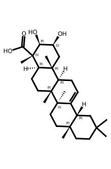 CC1(C)CC[C@]2(C)CC[C@]3(C)C(=CC[C@@H]4[C@@]5(C)C[C@H](O)[C@H](O)[C@@](C)(C(=O)O)[C@@H]5CC[C@]43C)[C@@H]2C1